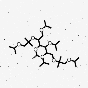 CC(C)OCC(OC(C)(C)COC(C)C)C(OC(C)C)C(OC(C)C)C(COC(C)(C)COC(C)C)OC(C)C